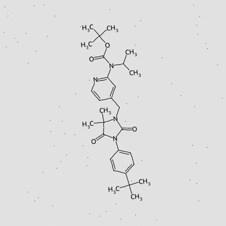 CC(C)N(C(=O)OC(C)(C)C)c1cc(CN2C(=O)N(c3ccc(C(C)(C)C)cc3)C(=O)C2(C)C)ccn1